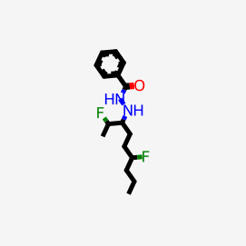 CCCC(F)CCC(NNC(=O)c1ccccc1)C(C)F